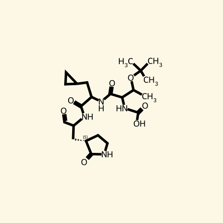 CC(OC(C)(C)C)C(NC(=O)O)C(=O)NC(CC1CC1)C(=O)NC(C=O)C[C@@H]1CCNC1=O